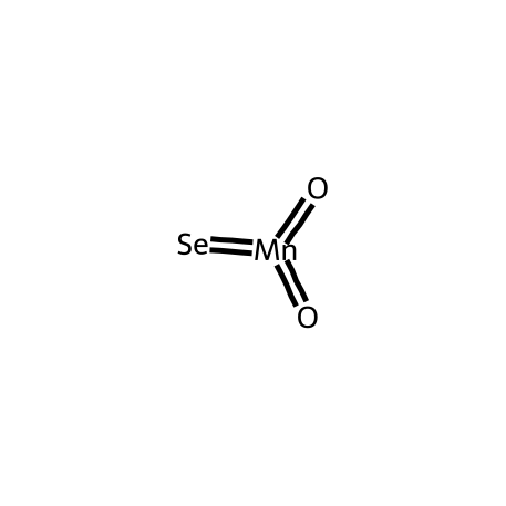 [O]=[Mn](=[O])=[Se]